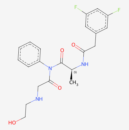 C[C@H](NC(=O)Cc1cc(F)cc(F)c1)C(=O)N(C(=O)CNCCO)c1ccccc1